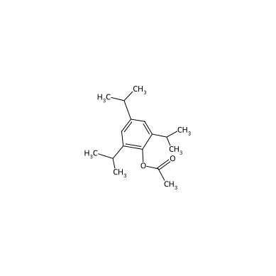 CC(=O)Oc1c(C(C)C)cc(C(C)C)cc1C(C)C